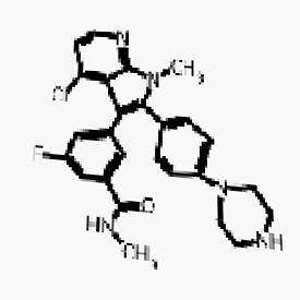 CNC(=O)c1cc(F)cc(-c2c(-c3ccc(N4CCNCC4)cc3)n(C)c3nccc(Cl)c23)c1